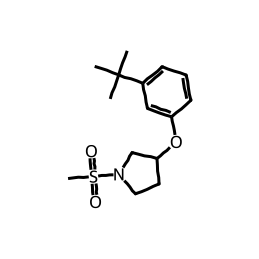 CC(C)(C)c1cccc(OC2CCN(S(C)(=O)=O)C2)c1